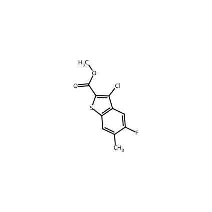 COC(=O)c1sc2cc(C)c(F)cc2c1Cl